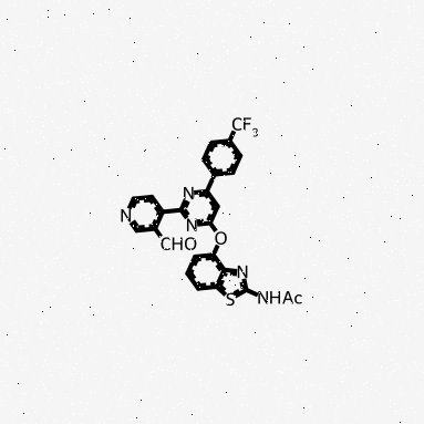 CC(=O)Nc1nc2c(Oc3cc(-c4ccc(C(F)(F)F)cc4)nc(-c4ccncc4C=O)n3)cccc2s1